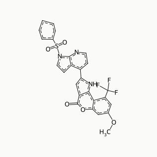 COc1cc(C(F)(F)F)c2c(c1)oc(=O)c1cc(-c3ccnc4c3ccn4S(=O)(=O)c3ccccc3)[nH]c12